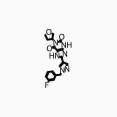 O=c1[nH]c2nc(-c3cnn(Cc4cccc(F)c4)c3)[nH]c2c(=O)n1C1CCOC1